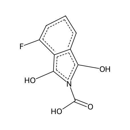 O=C(O)n1c(O)c2cccc(F)c2c1O